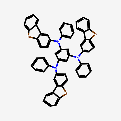 c1ccc(N(c2cc(N(c3ccccc3)c3ccc4sc5ccccc5c4c3)cc(N(c3ccccc3)c3ccc4sc5ccccc5c4c3)c2)c2ccc3sc4ccccc4c3c2)cc1